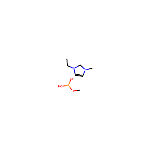 CCN1C=CN(C)C1.COP(O)O